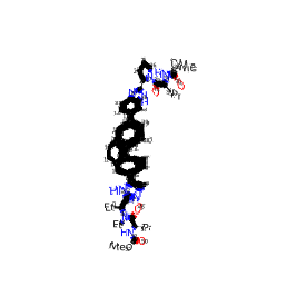 CC[C@@H](c1ncc(-c2ccc3c(c2)CCc2cc(-c4ccc5nc([C@@H]6CCCN6C(=O)[C@@H](NC(=O)OC)C(C)C)[nH]c5c4)ccc2-3)[nH]1)N(CC)C(=O)[C@@H](NC(=O)OC)C(C)C